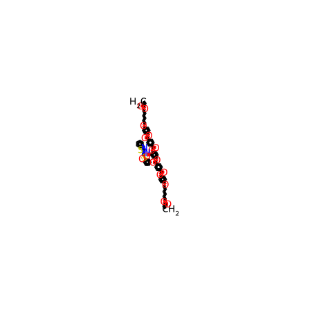 C=CC(=O)OCCCCCCOc1ccc(OC(=O)C2CCC(C(=O)Oc3ccc(OC(=O)C4CCC(C(=O)Oc5ccc(OCCCCCCOC(=O)C=C)cc5)CC4)c(/C=N/N(CS(=O)(=O)c4ccccc4)c4nc5ccccc5s4)c3)CC2)cc1